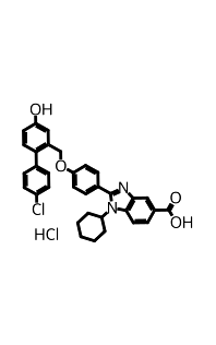 Cl.O=C(O)c1ccc2c(c1)nc(-c1ccc(OCc3cc(O)ccc3-c3ccc(Cl)cc3)cc1)n2C1CCCCC1